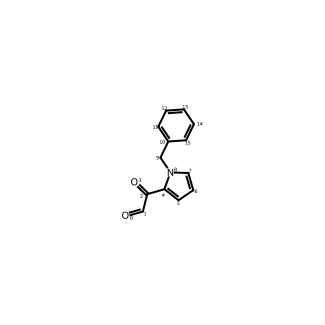 O=CC(=O)c1cccn1Cc1ccccc1